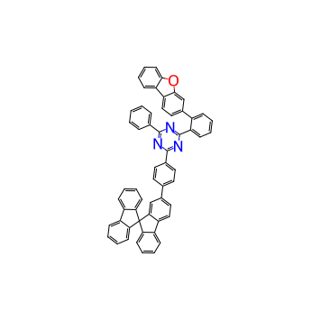 c1ccc(-c2nc(-c3ccc(-c4ccc5c(c4)C4(c6ccccc6-c6ccccc64)c4ccccc4-5)cc3)nc(-c3ccccc3-c3ccc4c(c3)oc3ccccc34)n2)cc1